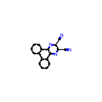 N#Cc1nc2c3ccccc3c3ccccc3c2nc1C#N